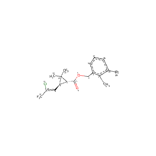 Cc1c(COC(=O)[C@@H]2[C@@H](C=C(Cl)C(F)(F)F)C2(C)C)cccc1C(C)C